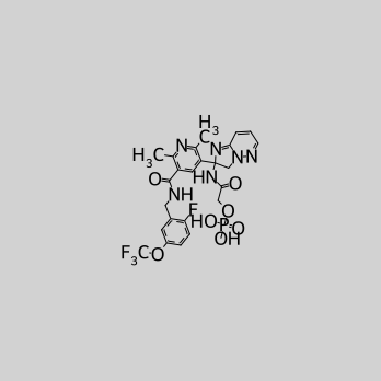 Cc1nc(C)c(C2(NC(=O)COP(=O)(O)O)CN3N=CC=CC3=N2)cc1C(=O)NCc1cc(OC(F)(F)F)ccc1F